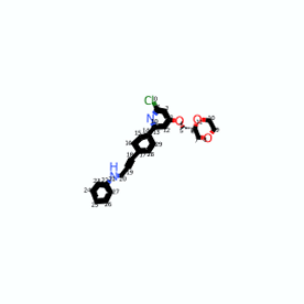 Clc1cc(OC[C@H]2COCCO2)cc(-c2ccc(C#CCNc3ccccc3)cc2)n1